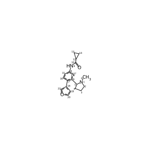 CN1CCCC1c1nc(NC(=O)C2CC2)ccc1-c1ccoc1